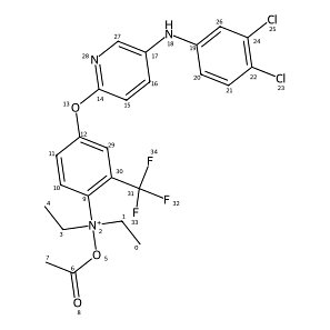 CC[N+](CC)(OC(C)=O)c1ccc(Oc2ccc(Nc3ccc(Cl)c(Cl)c3)cn2)cc1C(F)(F)F